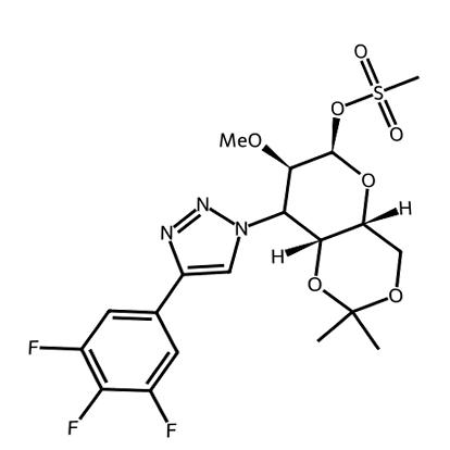 CO[C@@H]1C(n2cc(-c3cc(F)c(F)c(F)c3)nn2)[C@H]2OC(C)(C)OC[C@H]2O[C@@H]1OS(C)(=O)=O